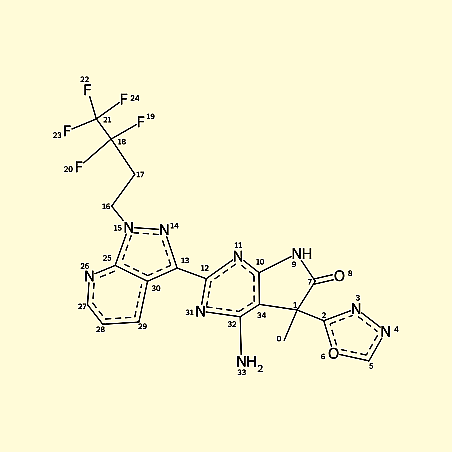 CC1(c2nnco2)C(=O)Nc2nc(-c3nn(CCC(F)(F)C(F)(F)F)c4ncccc34)nc(N)c21